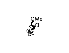 COCCc1sc(S(=O)(=O)Cl)cc1Cl